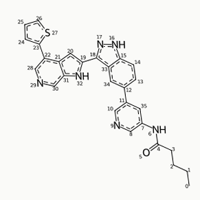 CCCCC(=O)Nc1cncc(-c2ccc3[nH]nc(-c4cc5c(-c6cccs6)cncc5[nH]4)c3c2)c1